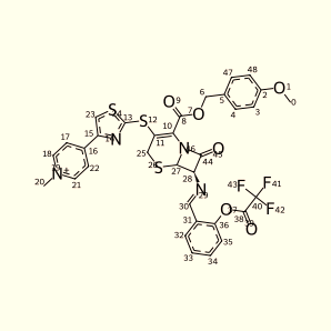 COc1ccc(COC(=O)C2=C(Sc3nc(-c4cc[n+](C)cc4)cs3)CSC3[C@H](N=Cc4ccccc4OC(=O)C(F)(F)F)C(=O)N23)cc1